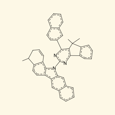 CC1CC=Cc2c1ccc1c3cc4ccccc4cc3n(-c3nc(-c4ccc5ccccc5c4)c4c(n3)-c3ccccc3C4(C)C)c21